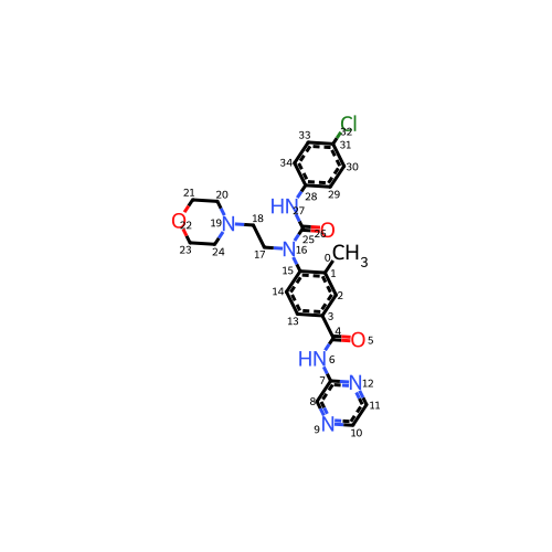 Cc1cc(C(=O)Nc2cnccn2)ccc1N(CCN1CCOCC1)C(=O)Nc1ccc(Cl)cc1